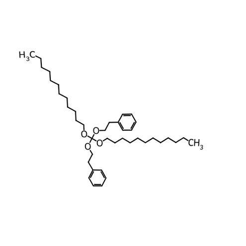 CCCCCCCCCCCCOC(OCCCCCCCCCCCC)(OCCc1ccccc1)OCCc1ccccc1